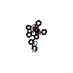 c1ccc(-n2c3ccccc3c3c(-c4cccc5c6ccccc6n(-c6cccc7c6oc6ccccc67)c45)c(-c4cccc5c4oc4ccncc45)ccc32)cc1